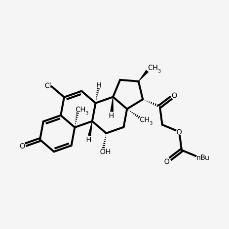 CCCCC(=O)OCC(=O)[C@H]1[C@H](C)C[C@H]2[C@@H]3C=C(Cl)C4=CC(=O)C=C[C@]4(C)[C@H]3[C@@H](O)C[C@@]21C